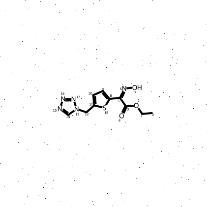 CCOC(=O)C(=NO)c1ccc(Cn2cnnn2)s1